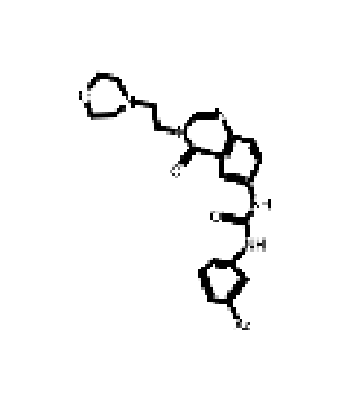 CC(=O)c1cccc(NC(=O)Nc2ccc3ncn(CCN4CCOCC4)c(=O)c3c2)c1